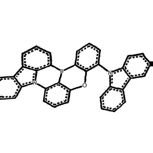 c1cc2c(c(-n3c4ccccc4c4ccccc43)c1)Oc1cccc3c1B2c1cccc2c4ccccc4n-3c12